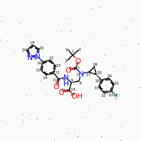 CC(C)(C)OC(=O)N(C[C@H](NC(=O)c1ccc(-n2cccn2)cc1)C(=O)O)C1C[C@H]1c1ccc(F)cc1